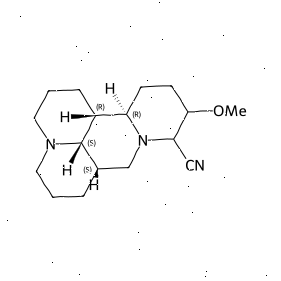 COC1CC[C@@H]2[C@H]3CCCN4CCC[C@@H](CN2C1C#N)[C@@H]34